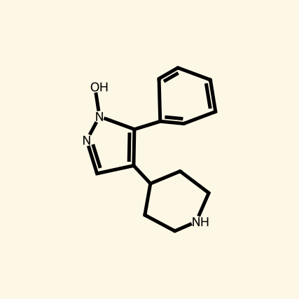 On1ncc(C2CCNCC2)c1-c1ccccc1